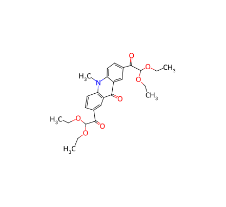 CCOC(OCC)C(=O)c1ccc2c(c1)c(=O)c1cc(C(=O)C(OCC)OCC)ccc1n2C